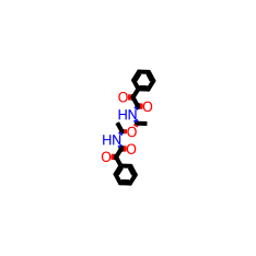 CC(NC(=O)C(=O)c1ccccc1)OC(C)NC(=O)C(=O)c1ccccc1